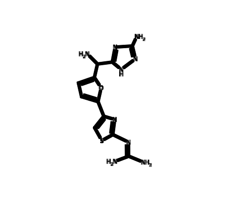 NC(N)=Nc1nc(-c2ccc(C(N)c3nc(N)n[nH]3)o2)cs1